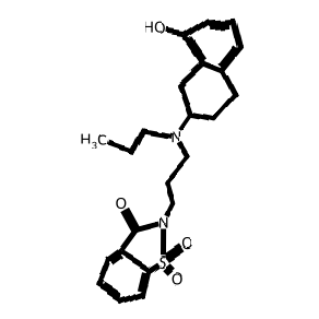 CCCN(CCCN1C(=O)c2ccccc2S1(=O)=O)C1CCc2cccc(O)c2C1